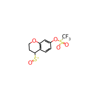 O=[S+]C1CCOc2cc(OS(=O)(=O)C(F)(F)F)ccc21